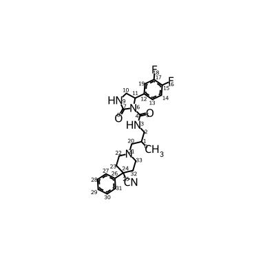 CC(CNC(=O)N1C(=O)NCC1c1ccc(F)c(F)c1)CN1CCC(C#N)(c2ccccc2)CC1